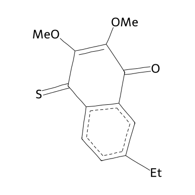 CCc1ccc2c(c1)C(=O)C(OC)=C(OC)C2=S